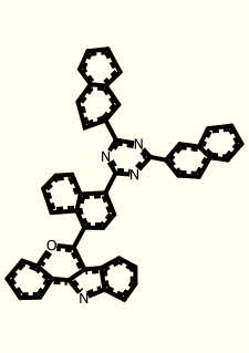 c1ccc2cc(-c3nc(-c4ccc5ccccc5c4)nc(-c4ccc(-c5oc6ccccc6c6nc7ccccc7c5-6)c5ccccc45)n3)ccc2c1